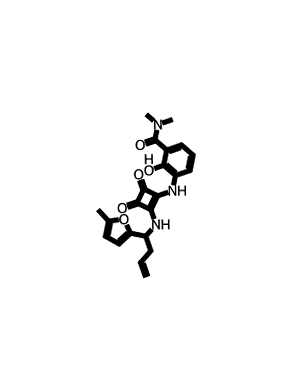 C=CCC(Nc1c(Nc2cccc(C(=O)N(C)C)c2O)c(=O)c1=O)c1ccc(C)o1